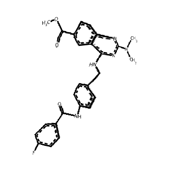 COC(=O)c1ccc2nc(N(C)C)nc(NCc3ccc(NC(=O)c4ccc(F)cc4)cc3)c2c1